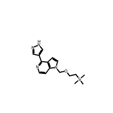 C[Si](C)(C)CCOCn1ccc2c(-c3cn[nH]c3)nccc21